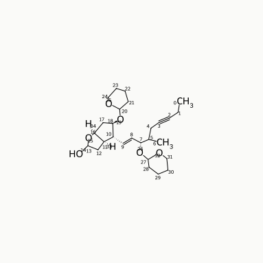 CCC#CCC(C)[C@@H](/C=C/[C@@H]1[C@H]2CC(O)O[C@H]2C[C@H]1OC1CCCCO1)OC1CCCCO1